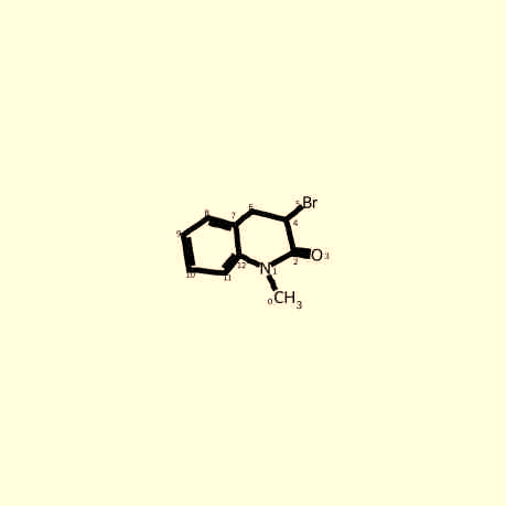 CN1C(=O)C(Br)Cc2ccccc21